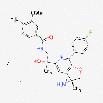 COc1cc(C(=O)NCC(O)(c2cc3c(c(-c4ccc(F)cc4)n2)OC[C@@]3(N)C(F)(F)F)C(F)(F)F)ccc1C(F)(F)F